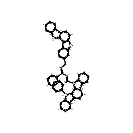 C/C(=N\C(=N/Cc1ccc2c(c1)oc1ccc3c4ccccc4oc3c12)c1ccccc1)n1c2ccccc2c2ccc3c4ccccc4n(-c4ccccc4)c3c21